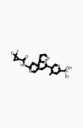 CC[C@@H](O)c1cc(C)c(-c2cc3cnc(NC(=O)C4CC4(F)F)cc3c3ccnn23)cn1